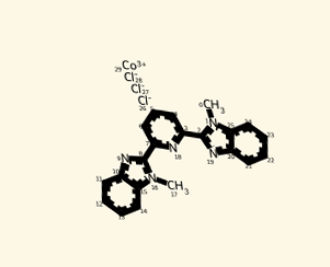 Cn1c(-c2cccc(-c3nc4ccccc4n3C)n2)nc2ccccc21.[Cl-].[Cl-].[Cl-].[Co+3]